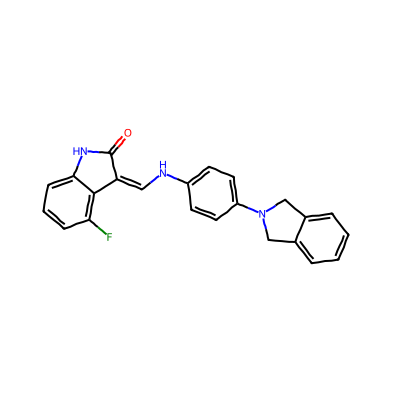 O=C1Nc2cccc(F)c2C1=CNc1ccc(N2Cc3ccccc3C2)cc1